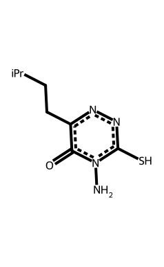 CC(C)CCc1nnc(S)n(N)c1=O